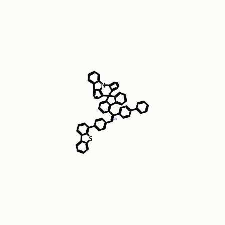 C(=C(\c1ccc(-c2ccccc2)cc1)c1cccc2c1-c1ccccc1C21c2ccccc2-n2c3ccccc3c3cccc1c32)/c1ccc(-c2cccc3c2sc2ccccc23)cc1